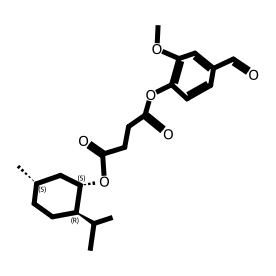 COc1cc(C=O)ccc1OC(=O)CCC(=O)O[C@H]1C[C@@H](C)CC[C@@H]1C(C)C